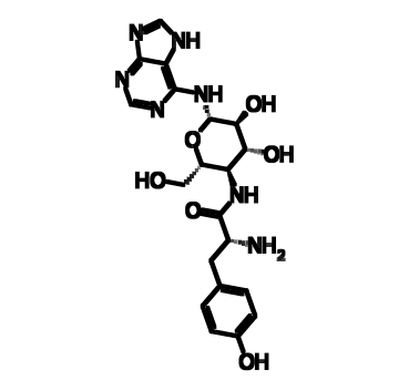 N[C@H](Cc1ccc(O)cc1)C(=O)N[C@@H]1[C@@H](O)[C@H](O)[C@@H](Nc2ncnc3nc[nH]c23)O[C@H]1CO